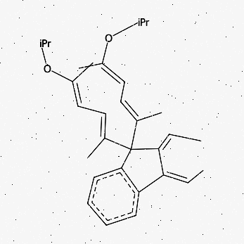 C/C=C1\C(=C/C)C(/C(C)=C/C=C(\C)OC(C)C)(/C(C)=C/C=C(\C)OC(C)C)c2ccccc21